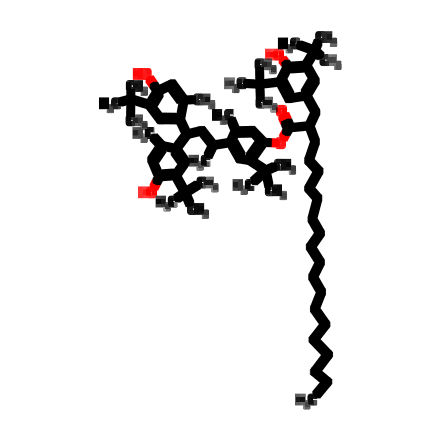 CCCCCCCCCCCCCCCCCCC(Cc1cc(C(C)(C)C)c(O)c(C(C)(C)C)c1)C(=O)Oc1cc(C)c(C(C)CC(c2cc(C(C)(C)C)c(O)cc2C)c2cc(C(C)(C)C)c(O)cc2C)cc1C(C)(C)C